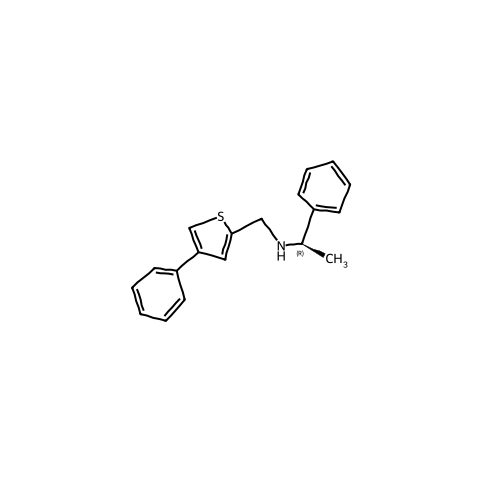 C[C@@H](NCc1cc(-c2ccccc2)cs1)c1ccccc1